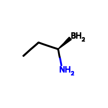 B[C@@H](N)CC